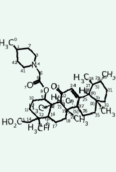 CC1CCN(CC(=O)OC2CCC(C)(CC(=O)O)[C@@H]3CC[C@]4(C)[C@H](C(=O)C=C5[C@@H]6[C@@H](C)[C@H](C)CC[C@]6(C)CC[C@]54C)[C@@]23C)CC1